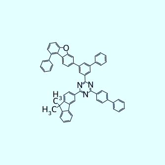 CC1(C)c2ccccc2-c2cc(-c3nc(-c4ccc(-c5ccccc5)cc4)nc(-c4cc(-c5ccccc5)cc(-c5ccc6c(c5)oc5cccc(-c7ccccc7)c56)c4)n3)ccc21